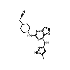 Cc1cc(Nc2nc(NC3CCC(CC#N)CC3)nc3ccsc23)n[nH]1